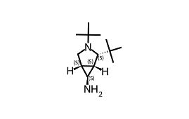 CC(C)(C)[C@@H]1[C@@H]2[C@@H](N)[C@@H]2CN1C(C)(C)C